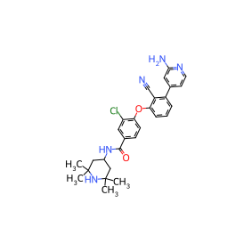 CC1(C)CC(NC(=O)c2ccc(Oc3cccc(-c4ccnc(N)c4)c3C#N)c(Cl)c2)CC(C)(C)N1